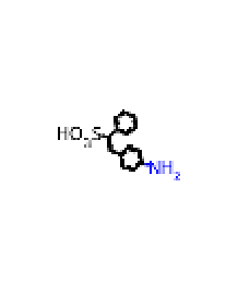 Nc1ccc(C=C(c2ccccc2)S(=O)(=O)O)cc1